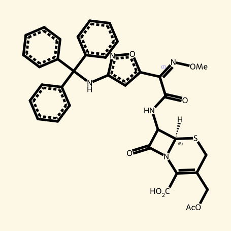 CO/N=C(\C(=O)NC1C(=O)N2C(C(=O)O)=C(COC(C)=O)CS[C@H]12)c1cc(NC(c2ccccc2)(c2ccccc2)c2ccccc2)no1